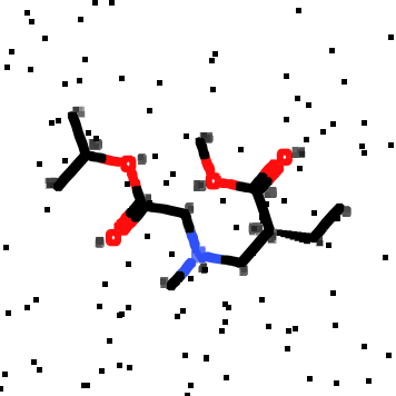 CC[C@H](CN(C)CC(=O)OC(C)C)C(=O)OC